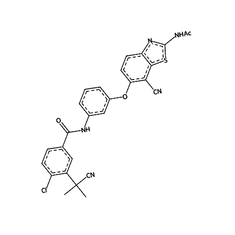 CC(=O)Nc1nc2ccc(Oc3cccc(NC(=O)c4ccc(Cl)c(C(C)(C)C#N)c4)c3)c(C#N)c2s1